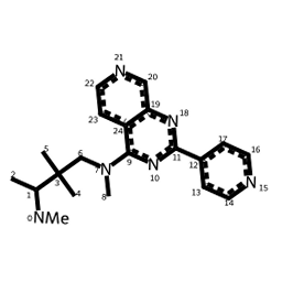 CNC(C)C(C)(C)CN(C)c1nc(-c2ccncc2)nc2cnccc12